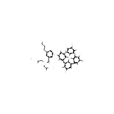 CCCCc1cccc(C[NH+](CC(C)C)CC(C)C)c1.Fc1c(F)c(F)c([B-](c2c(F)c(F)c(F)c(F)c2F)(c2c(F)c(F)c(F)c(F)c2F)c2c(F)c(F)c(F)c(F)c2F)c(F)c1F